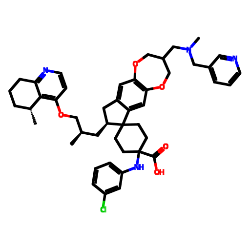 C[C@@H](COc1ccnc2c1[C@H](C)CCC2)C[C@H]1Cc2cc3c(cc2C12CCC(Nc1cccc(Cl)c1)(C(=O)O)CC2)OCC(CN(C)Cc1cccnc1)CO3